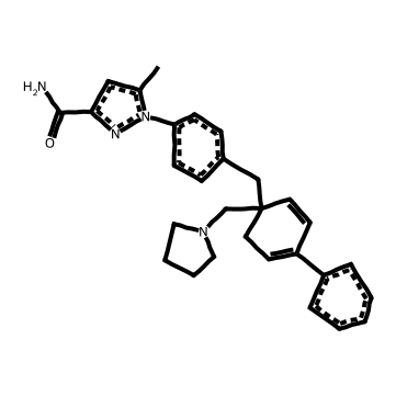 Cc1cc(C(N)=O)nn1-c1ccc(CC2(CN3CCCC3)C=CC(c3ccccc3)=CC2)cc1